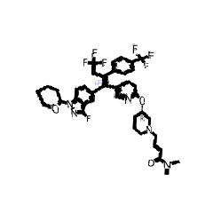 CN(C)C(=O)C=CCN1CCC[C@@H](Oc2ccc(/C(=C(/CC(F)(F)F)c3ccc(C(F)(F)F)cc3)c3ccc4c(c3)c(F)nn4C3CCCCO3)cn2)C1